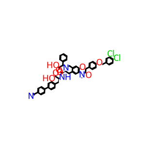 CN1C(=O)C(c2ccc(OCc3ccc(Cl)c(Cl)c3)cc2)Oc2cc3c(cc21)C[C@@H](C(=O)N[C@@H](Cc1ccc(-c2ccc(C#N)cc2)cc1)C(=O)O)N(C(C(=O)O)c1ccccc1)C3